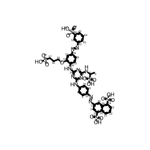 CC(Nc1nc(Nc2ccc(N=Nc3cc(S(=O)(=O)O)c4cccc(S(=O)(=O)O)c4c3)cc2)nc(Nc2ccc(N=Nc3cccc(S(=O)(=O)O)c3)cc2OCCCS(=O)(=O)O)n1)S(=O)(=O)O